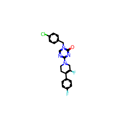 O=c1nc(N2CCC(c3ccc(F)cc3)=C(F)C2)ncn1Cc1ccc(Cl)cc1